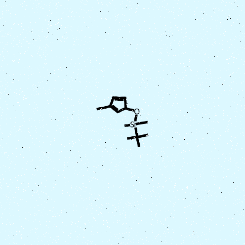 CC1=C[C](O[Si](C)(C)C(C)(C)C)C=C1